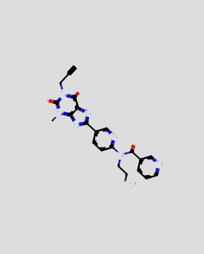 C#CCn1c(=O)c2[nH]c(-c3ccc(N(CCOC)C(=O)c4cccnc4)nc3)nc2n(C)c1=O